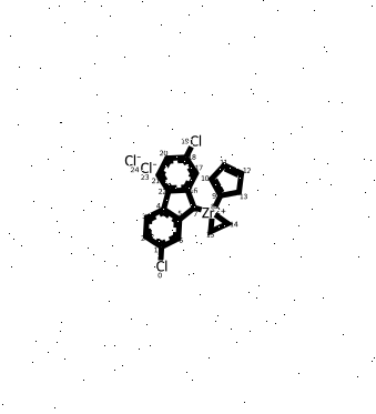 Clc1ccc2c(c1)[CH]([Zr+2]1([C]3=CC=CC3)[CH2][CH2]1)c1cc(Cl)ccc1-2.[Cl-].[Cl-]